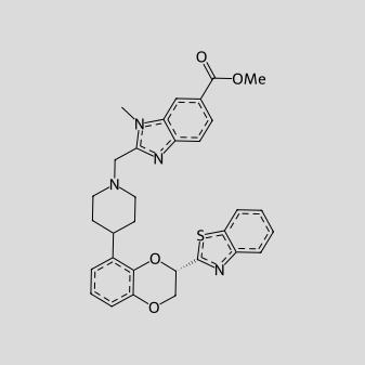 COC(=O)c1ccc2nc(CN3CCC(c4cccc5c4O[C@H](c4nc6ccccc6s4)CO5)CC3)n(C)c2c1